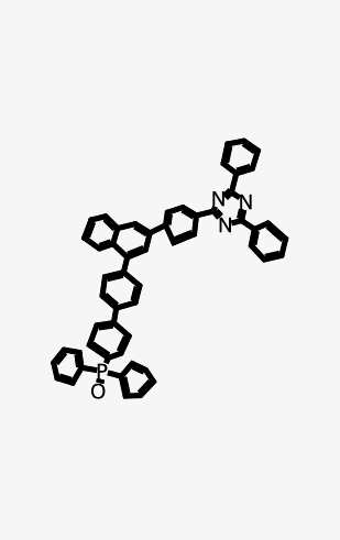 O=P(c1ccccc1)(c1ccccc1)c1ccc(-c2ccc(-c3cc(-c4ccc(-c5nc(-c6ccccc6)nc(-c6ccccc6)n5)cc4)cc4ccccc34)cc2)cc1